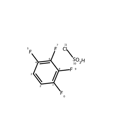 Fc1ccc(F)c(F)c1F.O=S(=O)(O)Cl